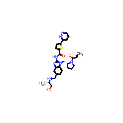 C=CC(=O)N1CCC[C@@H]1Cn1c(NC(=O)c2ccc(-c3cccnn3)s2)nc2cc(CN[C@@H](C)CO)ccc21